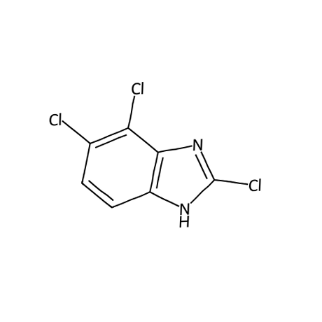 Clc1nc2c(Cl)c(Cl)ccc2[nH]1